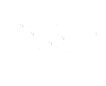 CCN(C)C=Nc1cc(Br)c(N=S(=O)(CCC(C)C)c2ccc(Cl)cc2)nc1C